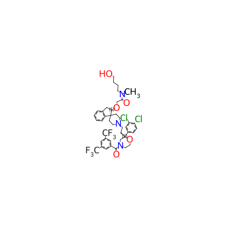 CN(CCCCO)C(=O)CO[C@H]1Cc2ccccc2C12CCN(CC[C@]1(c3ccc(Cl)c(Cl)c3)CN(C(=O)c3cc(C(F)(F)F)cc(C(F)(F)F)c3)CCO1)CC2